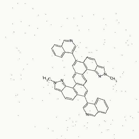 Cn1cc2ccc3c(-c4cncc5ccccc45)cc4cc5c(cc(-c6cncc7ccccc67)c6ccc7cn(C)nc7c65)cc4c3c2n1